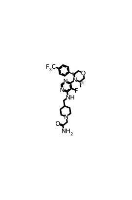 C[C@@H]1COC[C@H](c2ccc(C(F)(F)F)cc2)N1c1ncnc(NCC2CCN(CC(N)=O)CC2)c1F